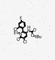 CCn1c(-c2ccc(F)cc2Cl)c(NC(=O)OC(C)(C)C)cc(Cl)c1=O